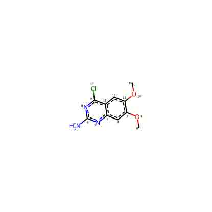 COc1cc2nc(N)nc(Cl)c2cc1OC